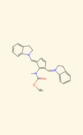 CN(C(=O)OC(C)(C)C)C1=C(/C=[N+]2\CCc3ccccc32)C=C/C1=C\N1CCc2ccccc21